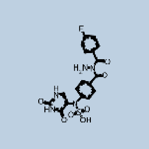 NN(C(=O)c1ccc(F)cc1)C(=O)c1ccc(N(c2c[nH]c(=O)[nH]c2=O)S(=O)(=O)O)cc1